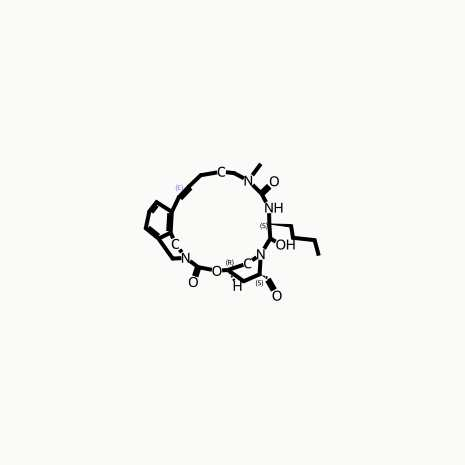 CCCC[C@@H]1NC(=O)N(C)CCC/C=C/c2cccc3c2CN(C3)C(=O)O[C@@H]2C[C@@H](C=O)N(C2)C1O